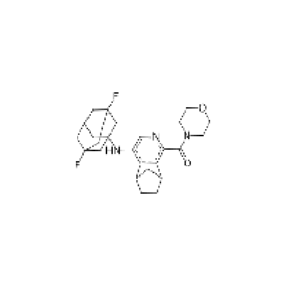 O=C(c1ncc(NC23CC4CC(F)(CC(F)(C4)C2)C3)c2c1C1CCC2C1)N1CCOCC1